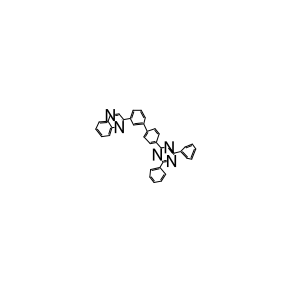 c1ccc(-c2nc(-c3ccccc3)nc(-c3ccc(-c4cccc(-c5cnc6ccccc6n5)c4)cc3)n2)cc1